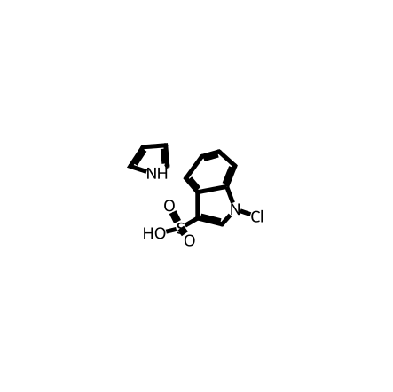 O=S(=O)(O)c1cn(Cl)c2ccccc12.c1cc[nH]c1